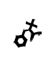 CC(C)(C)[C@@H](Cc1ccccc1)C(=O)O